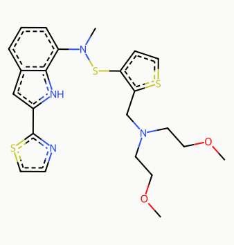 COCCN(CCOC)Cc1sccc1SN(C)c1cccc2cc(-c3nccs3)[nH]c12